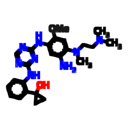 COc1cc(N(C)CCN(C)C)c(N)cc1Nc1ncnc(Nc2ccccc2C2(O)CC2)n1